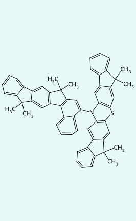 CC1(C)c2ccccc2-c2cc3c(cc21)Sc1cc2c(cc1N3c1cc3c(c4ccccc14)-c1cc4c(cc1C3(C)C)-c1ccccc1C4(C)C)-c1ccccc1C2(C)C